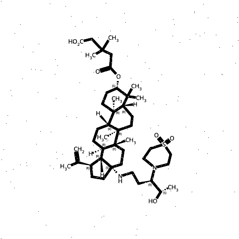 C=C(C)[C@@H]1CC[C@]2(NCC[C@H]([C@H](C)O)N3CCS(=O)(=O)CC3)CC[C@]3(C)[C@H](CC[C@@H]4[C@@]5(C)CC[C@H](OC(=O)CC(C)(C)CC(=O)O)C(C)(C)[C@@H]5CC[C@]43C)[C@@H]12